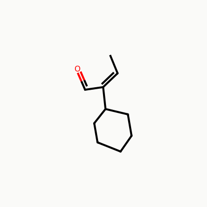 CC=C(C=O)C1CCCCC1